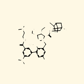 COc1c(CN2O[C@@H](CO)[C@@H]([C@H](C)O)[C@H]2C(=O)N[C@H]2C[C@H]3C[C@@H]([C@@H]2C)C3(C)C)cc(F)cc1-c1cc(C(=O)NCCN(C)C)cc(N(C)C)c1